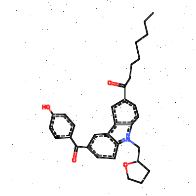 CCCCCCCC(=O)c1ccc2c(c1)c1cc(C(=O)c3ccc(O)cc3)ccc1n2CC1CCCO1